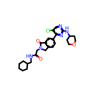 O=C(CN1Cc2ccc(-c3nc(NC4CCOCC4)ncc3Cl)cc2C1=O)NCC1CCCCC1